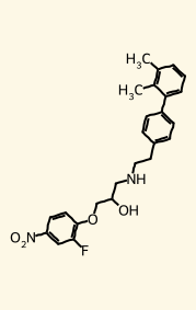 Cc1cccc(-c2ccc(CCNCC(O)COc3ccc([N+](=O)[O-])cc3F)cc2)c1C